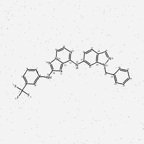 FC(F)(F)c1cccc(Nc2nc3c(Nc4ccc5cnn(Cc6ccccc6)c5c4)nccn3n2)c1